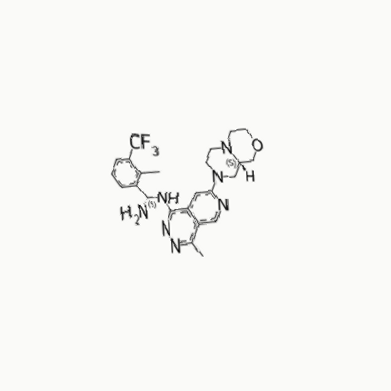 Cc1c([C@@H](N)Nc2nnc(C)c3cnc(N4CCN5CCOC[C@@H]5C4)cc23)cccc1C(F)(F)F